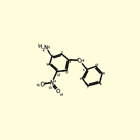 Nc1cc(Oc2ccccc2)cc([N+](=O)[O-])c1